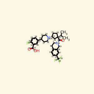 CC(C)[C@]1(C(=O)N2CCc3ccc(C(F)(F)F)cc3C2)CC[C@@H](N2CCC(c3ccc(F)c(C(=O)O)c3)CC2)C1